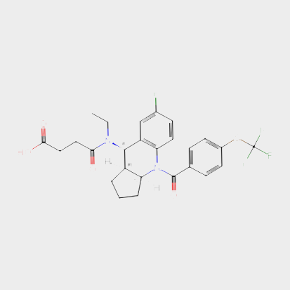 CCN(C(=O)CCC(=O)O)[C@H]1c2cc(F)ccc2N(C(=O)c2ccc(SC(F)(F)F)cc2)[C@H]2CCC[C@@H]12